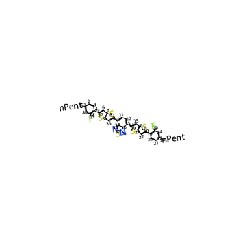 CCCCCc1ccc(C2=CC3SC(c4ccc(-c5cc6sc(-c7ccc(CCCCC)cc7F)cc6s5)c5nsnc45)=CC3S2)c(F)c1